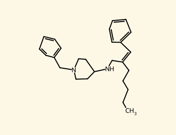 CCCCCC(=Cc1ccccc1)CNC1CCN(Cc2ccccc2)CC1